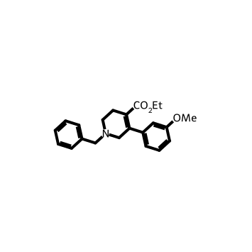 CCOC(=O)C1=C(c2cccc(OC)c2)CN(Cc2ccccc2)CC1